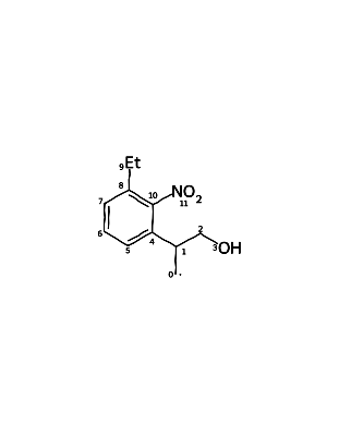 [CH2]C(CO)c1cccc(CC)c1[N+](=O)[O-]